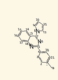 Cc1ccc(-c2nc(-n3cccc3)c3ccccc3n2)cc1